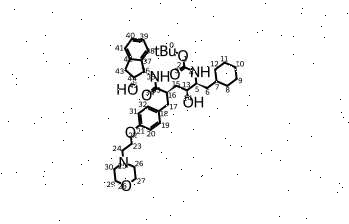 CC(C)(C)OC(=O)N[C@@H](CC1CCCCC1)[C@@H](O)C[C@@H](Cc1ccc(OCCN2CCOCC2)cc1)C(=O)N[C@H]1c2ccccc2C[C@H]1O